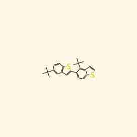 CC(C)(C)c1ccc2sc(-c3ccc4sccc4c3C(C)(C)C)cc2c1